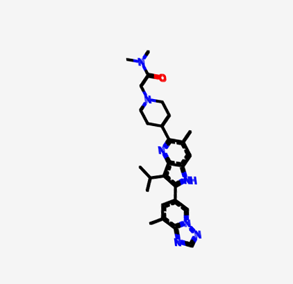 Cc1cc2[nH]c(-c3cc(C)c4ncnn4c3)c(C(C)C)c2nc1C1CCN(CC(=O)N(C)C)CC1